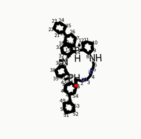 C=C1/C=C\C=C/CNc2ccccc2[PH](C)(c2ccc(-c3ccccc3)cc2)c2ccccc2N(C)c2ccccc2[PH]1(C)c1ccc(-c2ccccc2)cc1